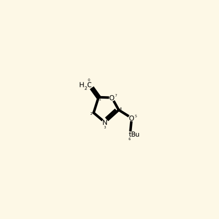 C=C1CN=C(OC(C)(C)C)O1